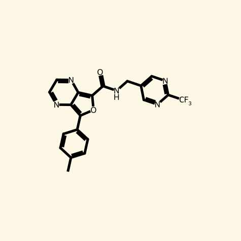 Cc1ccc(-c2oc(C(=O)NCc3cnc(C(F)(F)F)nc3)c3nccnc23)cc1